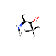 CCN=C(C)C(O)[Si](C)(C)C